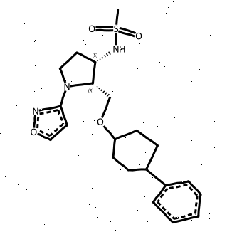 CS(=O)(=O)N[C@H]1CCN(c2ccon2)[C@H]1COC1CCC(c2ccccc2)CC1